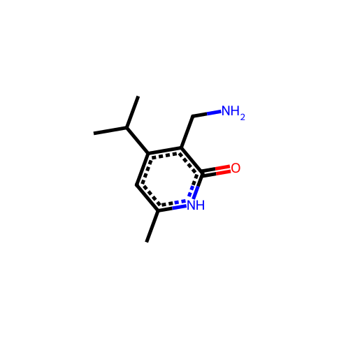 Cc1cc(C(C)C)c(CN)c(=O)[nH]1